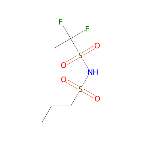 CCCS(=O)(=O)NS(=O)(=O)C(C)(F)F